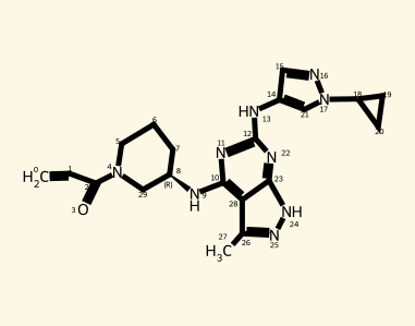 C=CC(=O)N1CCC[C@@H](Nc2nc(Nc3cnn(C4CC4)c3)nc3[nH]nc(C)c23)C1